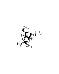 C=C[C@H]1O[C@@H](OC)[C@@H]2OC(C)(C)O[C@@H]21